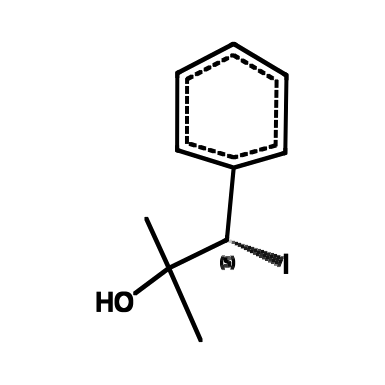 CC(C)(O)[C@@H](I)c1ccccc1